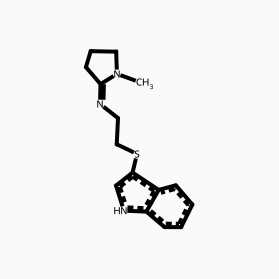 CN1CCCC1=NCCSc1c[nH]c2ccccc12